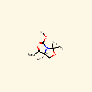 CCC[C@@]1(C(=O)OC)COC(C)(C)N1C(=O)OC(C)(C)C